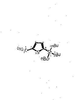 CCC[CH2][Sn]([CH2]CCC)([CH2]CCC)[c]1ccc(C(=O)OCC)s1